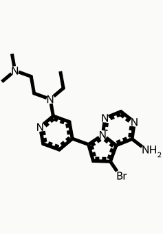 CCN(CCN(C)C)c1cc(-c2cc(Br)c3c(N)ncnn23)ccn1